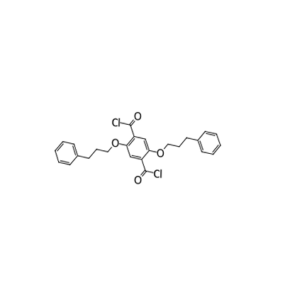 O=C(Cl)c1cc(OCCCc2ccccc2)c(C(=O)Cl)cc1OCCCc1ccccc1